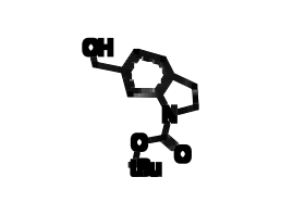 CC(C)(C)OC(=O)N1CCc2ccc(CO)cc21